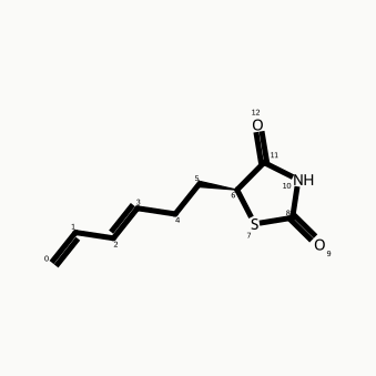 C=C/C=C/CC[C@@H]1SC(=O)NC1=O